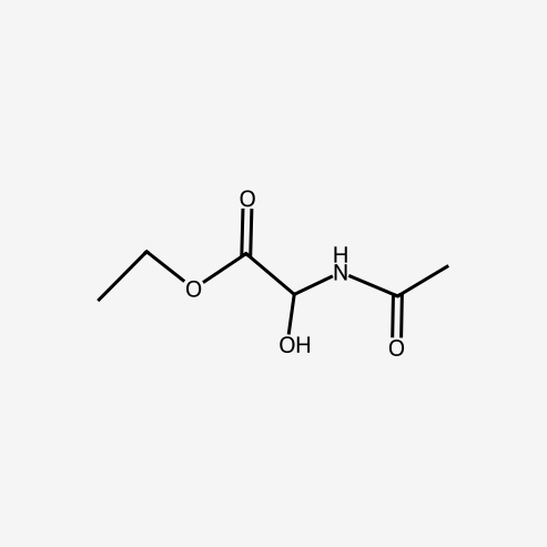 CCOC(=O)C(O)NC(C)=O